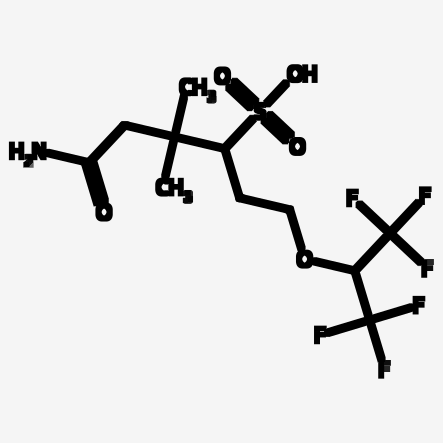 CC(C)(CC(N)=O)C(CCOC(C(F)(F)F)C(F)(F)F)S(=O)(=O)O